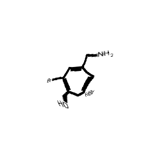 Br.NCc1ccc(O)c(Br)c1